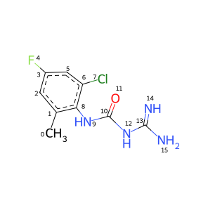 Cc1cc(F)cc(Cl)c1NC(=O)NC(=N)N